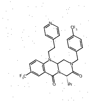 CC(C)[C@H]1C(=O)N(Cc2ccc(C(F)(F)F)cc2)CC2N(CCc3ccncc3)c3ccc(C(F)(F)F)cc3C(=O)N21